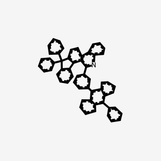 c1ccc(-c2c3ccccc3c(-c3cccc(-c4nc5ccccc5c5ccc6c(c45)-c4ccccc4C6(c4ccccc4)c4ccccc4)c3)c3ccccc23)cc1